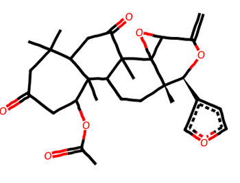 C=C1O[C@@H](c2ccoc2)[C@]2(C)CCC3C4(C)C(OC(C)=O)CC(=O)CC(C)(C)C4CC(=O)C3(C)C23OC13